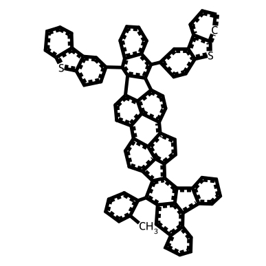 Cc1ccccc1-c1c2cc3ccccc3c3c4ccccc4c(c4c5ccc6c7ccc8c9c(ccc(c%10ccc(c14)c5c%106)c97)-c1c-8c(-c4ccc5sc6ccccc6c5c4)c4ccccc4c1-c1ccc4sc5ccccc5c4c1)c23